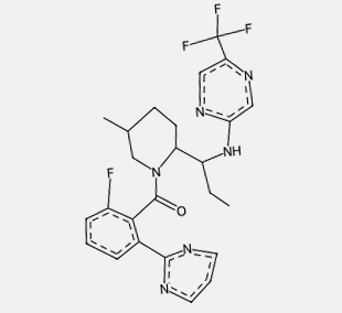 CCC(Nc1cnc(C(F)(F)F)cn1)C1CCC(C)CN1C(=O)c1c(F)cccc1-c1ncccn1